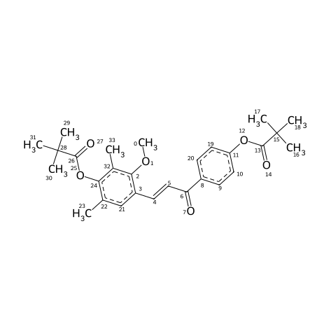 COc1c(/C=C/C(=O)c2ccc(OC(=O)C(C)(C)C)cc2)cc(C)c(OC(=O)C(C)(C)C)c1C